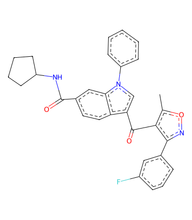 Cc1onc(-c2cccc(F)c2)c1C(=O)c1cn(-c2ccccc2)c2cc(C(=O)NC3CCCC3)ccc12